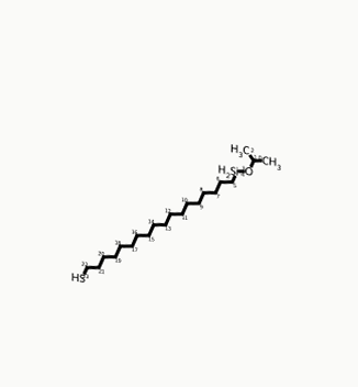 CC(C)O[SiH2]CCCCCCCCCCCCCCCCCCS